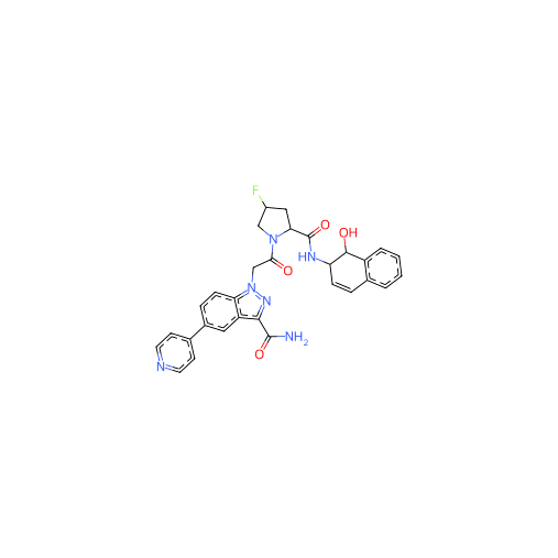 NC(=O)c1nn(CC(=O)N2CC(F)CC2C(=O)NC2C=Cc3ccccc3C2O)c2ccc(-c3ccncc3)cc12